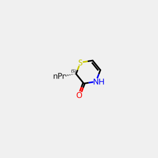 CCC[C@@H]1SC=CNC1=O